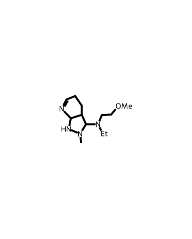 CCN(CCOC)C1C2CCC=NC2NN1C